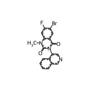 Cn1c(=O)n(-c2cncc3ccccc23)c(=O)c2cc(Br)c(F)cc21